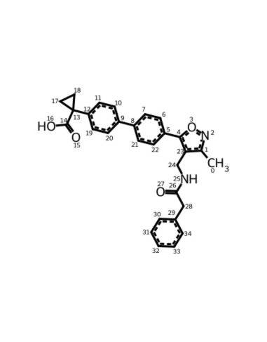 Cc1noc(-c2ccc(-c3ccc(C4(C(=O)O)CC4)cc3)cc2)c1CNC(=O)Cc1ccccc1